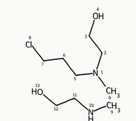 CN(CCO)CCCCl.CNCCO